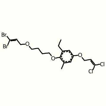 CCc1cc(OCC=C(Cl)Cl)cc(C)c1OCCCCOCC=C(Br)Br